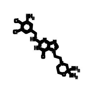 Bc1cc(CNc2nc3ncn(CCN4CCOC(B)(B)C4)c3c(=O)[nH]2)cc(Cl)c1Cl